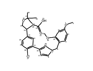 COc1ccc(Cn2cnc(-c3cc(C4COC(C)(C)N4C(=O)O)ccc3Cl)n2)c(OC)c1